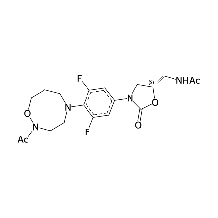 CC(=O)NC[C@H]1CN(c2cc(F)c(N3CCCON(C(C)=O)CC3)c(F)c2)C(=O)O1